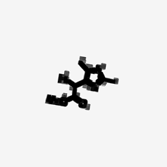 CCC(C(=O)OC)c1nc(C)sc1C